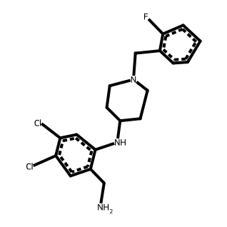 NCc1cc(Cl)c(Cl)cc1NC1CCN(Cc2ccccc2F)CC1